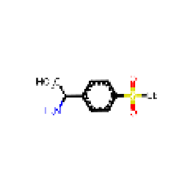 CCS(=O)(=O)c1ccc([C@@H](N)C(=O)O)cc1